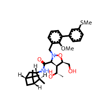 COc1c(CN2O[C@@H](CO)[C@@H]([C@H](C)O)C2C(=O)N[C@H]2C[C@H]3C[C@@H]([C@@H]2C)C3(C)C)cccc1-c1cccc(SC)c1